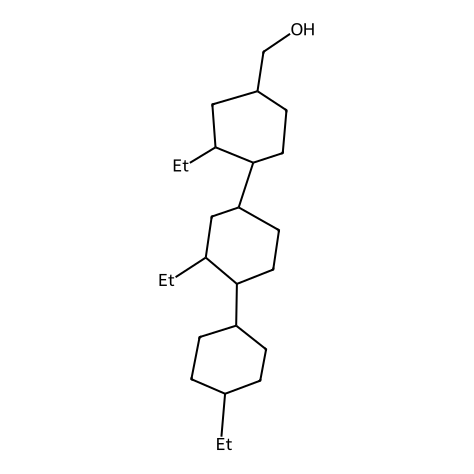 CCC1CCC(C2CCC(C3CCC(CO)CC3CC)CC2CC)CC1